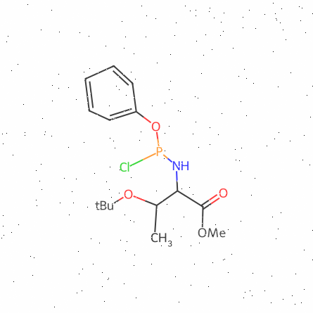 COC(=O)C(NP(Cl)Oc1ccccc1)C(C)OC(C)(C)C